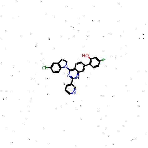 Oc1cc(F)ccc1-c1ccc2c(N3CCc4cc(Cl)ccc43)nc(-c3cccnc3)nc2c1